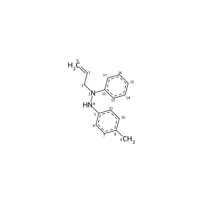 C=CCN(Nc1ccc(C)cc1)c1ccccc1